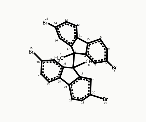 CC1(C2(C)c3cc(Br)ccc3-c3ccc(Br)cc32)c2cc(Br)ccc2-c2ccc(Br)cc21